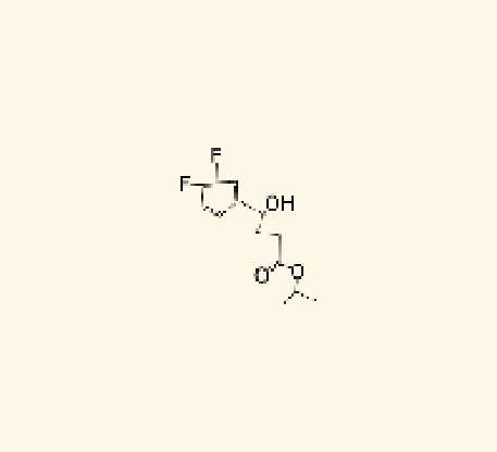 CC(C)OC(=O)CCC(O)c1ccc(F)c(F)c1